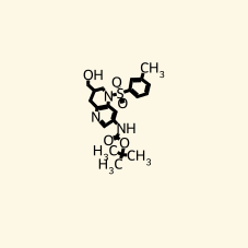 Cc1cccc(S(=O)(=O)N2CC(CO)Cc3ncc(NC(=O)OC(C)(C)C)cc32)c1